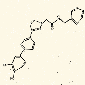 CCc1cc(-c2ccc(-c3ccn(CC(=O)NCc4cccnc4)n3)cc2)ccc1O